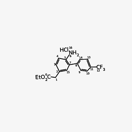 CCOC(=O)Cc1ccc(N)c(-c2ccc(C(F)(F)F)cc2)c1.Cl